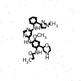 C=CC(=O)Nc1cc(Nc2cc(Nc3ccccc3-c3ccn(C)n3)ncn2)c(OC)cc1C1CNCCO1